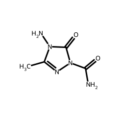 Cc1nn(C(N)=O)c(=O)n1N